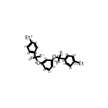 CCc1ccc(C(F)(F)Oc2cccc(OC(F)(F)c3ccc(CC)cc3)c2)cc1